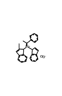 CC1=Cc2ccccc2[CH]1/[Zr+2](=[C](\C)c1ccccc1)[CH]1C=Cc2ccccc21.[Cl-].[Cl-]